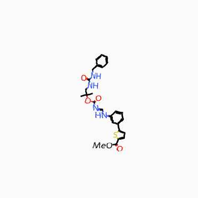 COC(=O)c1ccc(-c2cccc(N/C=N/C(=O)OC(C)(C)CNC(=O)NCc3ccccc3)c2)s1